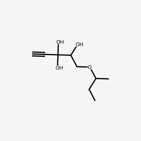 C#CC(O)(O)C(O)COC(C)CC